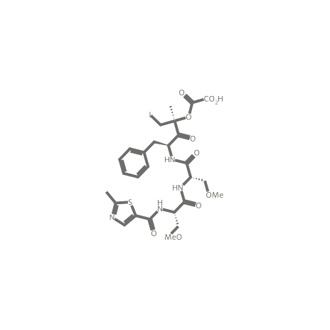 COC[C@H](NC(=O)c1cnc(C)s1)C(=O)N[C@@H](COC)C(=O)N[C@@H](Cc1ccccc1)C(=O)[C@@](C)(CI)OC(=O)C(=O)O